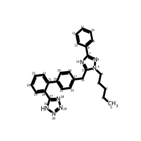 CCCCCn1nc(-c2ccccc2)nc1Cc1ccc(-c2ccccc2-c2nnn[nH]2)cc1